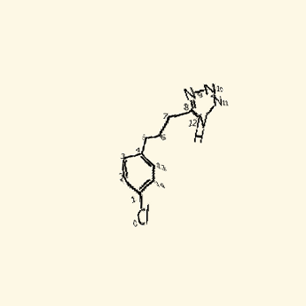 Clc1ccc(CCCc2nnn[nH]2)cc1